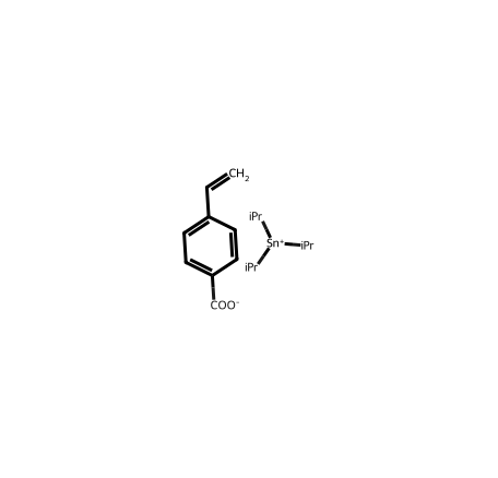 C=Cc1ccc(C(=O)[O-])cc1.C[CH](C)[Sn+]([CH](C)C)[CH](C)C